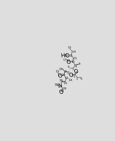 CCC(=O)O[C@@H](CC[C@H](C)[C@H](C[C@H](O)CC)OC)[C@H](C)[C@H](OC)[C@H](C)/C=C/N(C)C=O